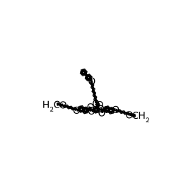 C=CCOCCCCCCOc1ccc2cc(C(=O)Oc3ccc(OC(=O)c4ccc5cc(OCCCCCCOCC=C)ccc5c4)c(C(=O)OCCCCCCCCCCOc4ccc(-c5ccccc5)cc4)c3)ccc2c1